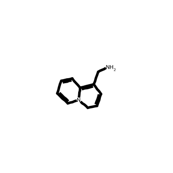 NCC1=C2C=CC=CN2CC=C1